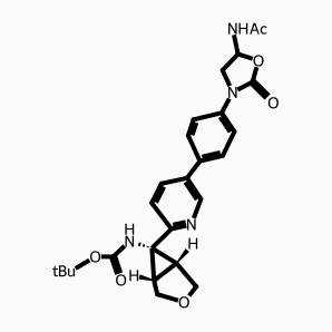 CC(=O)NC1CN(c2ccc(-c3ccc([C@@]4(NC(=O)OC(C)(C)C)[C@@H]5COC[C@@H]54)nc3)cc2)C(=O)O1